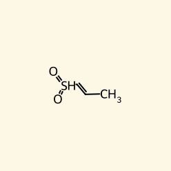 CC=C[SH](=O)=O